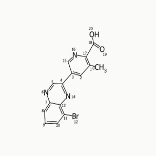 Cc1cc(-c2cnc3cccc(Br)c3n2)cnc1C(=O)O